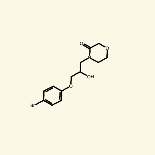 O=C1COCCN1CC(O)COc1ccc(Br)cc1